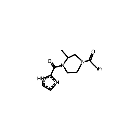 CC(C)C(=O)N1CCN(C(=O)c2ncc[nH]2)C(C)C1